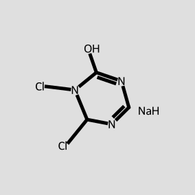 OC1=NC=NC(Cl)N1Cl.[NaH]